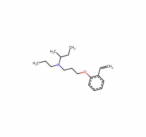 C=Cc1ccccc1OCCCN(CCC)C(C)CC